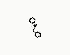 C=C[SiH](Cc1ccccc1)Cc1ccccc1